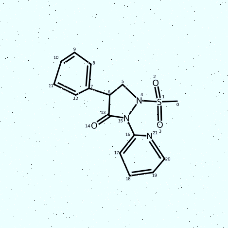 CS(=O)(=O)N1CC(c2ccccc2)C(=O)N1c1ccccn1